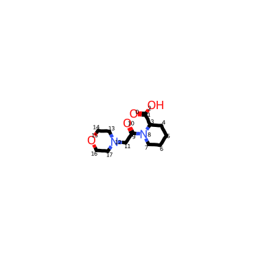 O=C(O)C1CCCCN1C(=O)CN1CCOCC1